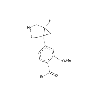 CCC(=O)c1ccc([C@]23CNC[C@H]2C3)cc1OC